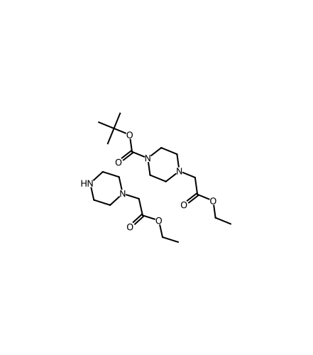 CCOC(=O)CN1CCN(C(=O)OC(C)(C)C)CC1.CCOC(=O)CN1CCNCC1